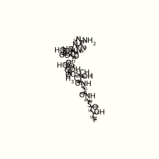 CC(C)(COP(=O)(O)OP(=O)(O)OC[C@H]1O[C@@H](n2cnc3c(N)ncnc32)[C@H](O)[C@@H]1OP(=O)(O)O)[C@@H](O)C(=O)NCCC(=O)NCCSC(=O)CC(O)CF